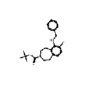 CC(C)(C)OC(=O)N1CCc2ccc(Cl)c(NCc3ccccc3)c2CC1